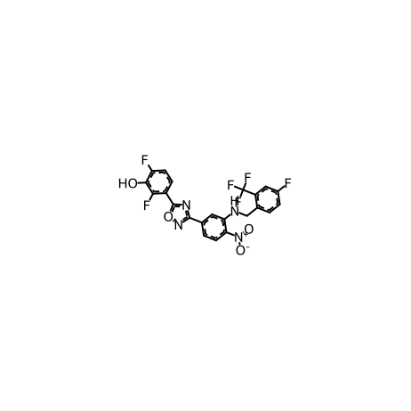 O=[N+]([O-])c1ccc(-c2noc(-c3ccc(F)c(O)c3F)n2)cc1NCc1ccc(F)cc1C(F)(F)F